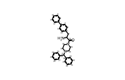 NC(Cc1ccc(-c2ccccc2)cc1)C(=O)N1CCN(C(c2ccccc2)c2ccccc2)CC1